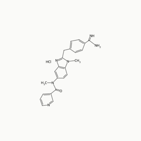 CN(C(=O)c1cccnc1)c1ccc2c(c1)nc(Cc1ccc(C(=N)N)cc1)n2C.Cl